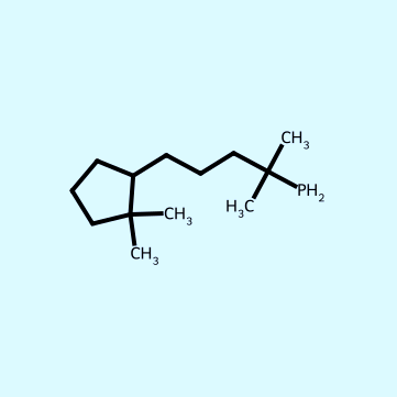 CC(C)(P)CCCC1CCCC1(C)C